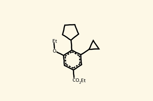 CCOC(=O)c1cc(OCC)c(C2CCCC2)c(C2CC2)c1